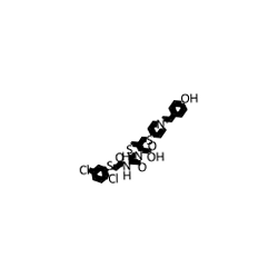 O=C(CSc1cc(Cl)ccc1Cl)N[C@H]1C(=O)N2C(C(=O)O)=C(CSc3cc[n+](CCc4ccc(O)cc4)cc3)CS[C@H]12